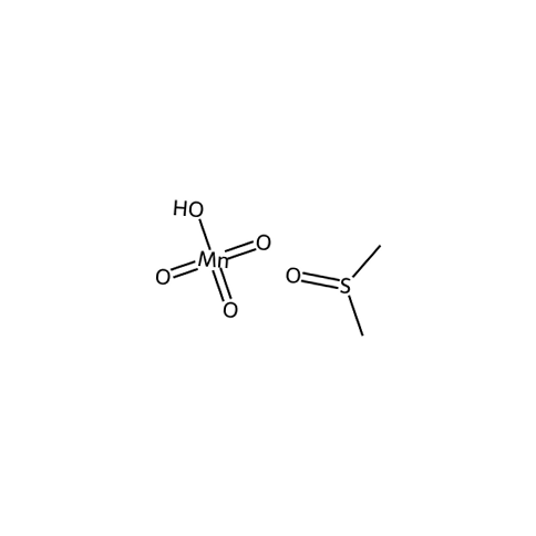 CS(C)=O.[O]=[Mn](=[O])(=[O])[OH]